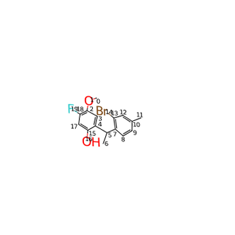 COc1cc(C(C)c2ccc(C)cc2Br)c(O)cc1F